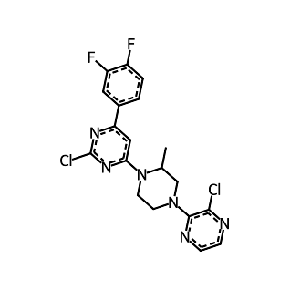 CC1CN(c2nccnc2Cl)CCN1c1cc(-c2ccc(F)c(F)c2)nc(Cl)n1